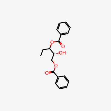 CCC(OC(=O)c1ccccc1)[C@H](O)COC(=O)c1ccccc1